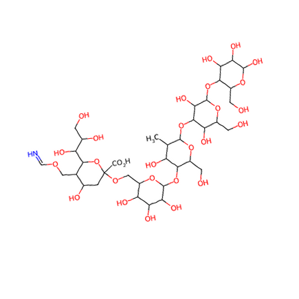 CC1C(OC2C(O)C(CO)OC(OC3C(CO)OC(O)C(O)C3O)C2O)OC(CO)C(OC2OC(COC3(C(=O)O)CC(O)C(COC=N)C(C(O)C(O)CO)O3)C(O)C(O)C2O)C1O